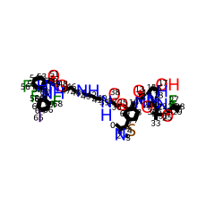 Cc1ncsc1-c1ccc(CNC(=O)[C@@H]2C[C@@H](O)CN2C(=O)[C@@H](NC(=O)C2(F)CC2)C(C)(C)C)c(OCC(=O)NCCCCNCCCONC(=O)c2ccc(F)c(F)c2Nc2ccc(I)cc2F)c1